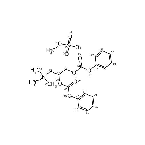 COS(=O)(=O)[O-].C[N+](C)(C)CC(COC(=O)Oc1ccccc1)OC(=O)Oc1ccccc1